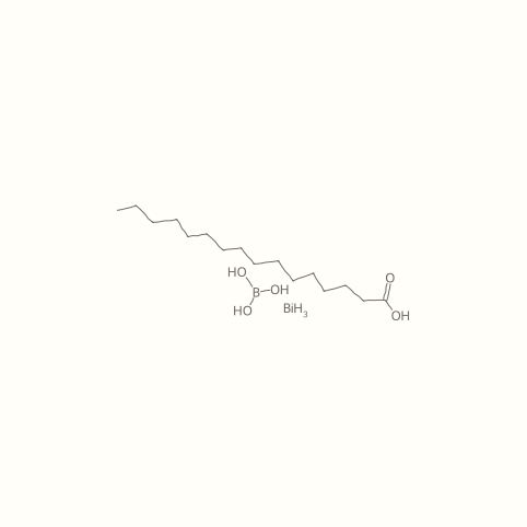 CCCCCCCCCCCCCCCC(=O)O.OB(O)O.[BiH3]